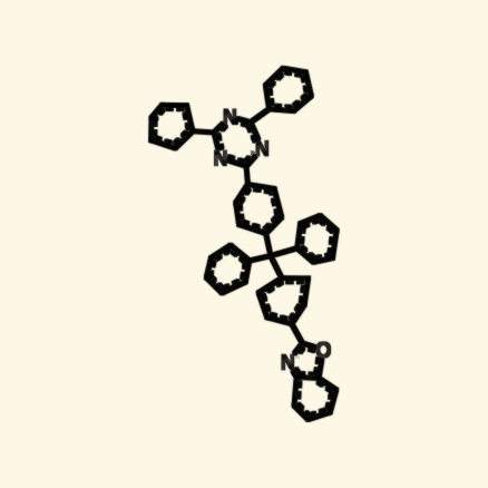 c1ccc(-c2nc(-c3ccccc3)nc(-c3ccc(C(c4ccccc4)(c4ccccc4)c4ccc(-c5nc6ccccc6o5)cc4)cc3)n2)cc1